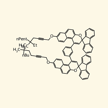 CCCCCC(C)(CC)CC#CCOc1ccc2c3c(ccc2c1)OC1(C=C3c2cccc(C3=CC4(Oc5ccc6cc(OCC#CCCC(C)(C)CCCC)ccc6c53)c3ccccc3-c3ccccc34)c2)c2ccccc2-c2ccccc21